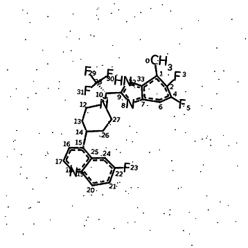 Cc1c(F)c(F)cc2nc([C@H](N3CCC(c4ccnc5ccc(F)cc45)CC3)C(F)(F)F)[nH]c12